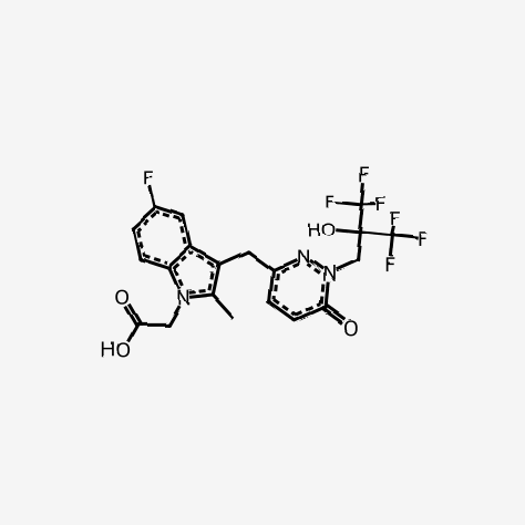 Cc1c(Cc2ccc(=O)n(CC(O)(C(F)(F)F)C(F)(F)F)n2)c2cc(F)ccc2n1CC(=O)O